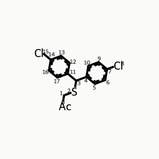 CC(=O)CSC(c1ccc(Cl)cc1)c1ccc(Cl)cc1